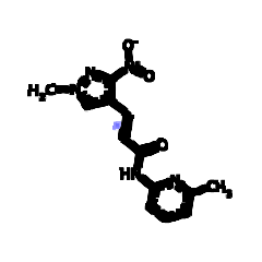 Cc1cccc(NC(=O)/C=C/c2cn(C)nc2[N+](=O)[O-])n1